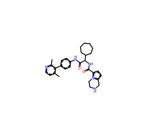 Cc1ccnc(C)c1-c1ccc(NC(=O)C(NC(=O)c2ccc3n2CCNC3)C2CCCCCC2)cc1